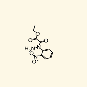 CCOC(=O)C(=O)N(N)c1ccccc1[N+](=O)[O-]